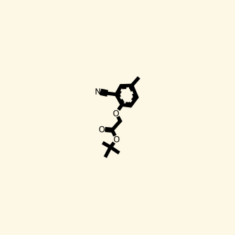 Cc1ccc(OCC(=O)OC(C)(C)C)c(C#N)c1